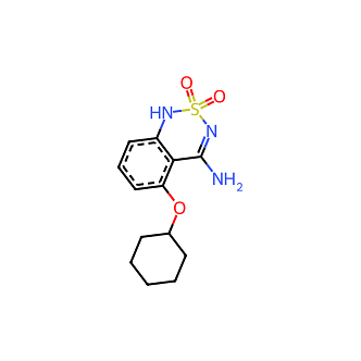 NC1=NS(=O)(=O)Nc2cccc(OC3CCCCC3)c21